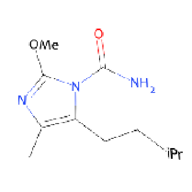 COc1nc(C)c(CCC(C)C)n1C(N)=O